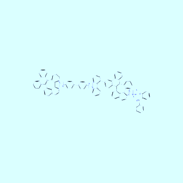 c1ccc(-c2nc(-n3c4cccc5c4c4c6c(cccc6ccc43)-c3c-5c4ccccc4c4cc(-c5cccc6c5c5ccccc5n6-c5ccc(-c6ccc(-n7c8cccc9c8c8c%10c(cccc%10ccc87)-c7c-9c8ccccc8c8ccccc78)cc6)cc5)ccc34)nc3ccccc23)cc1